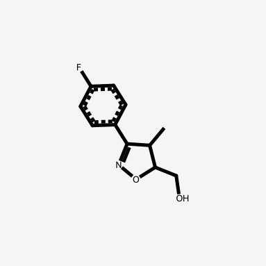 CC1C(c2ccc(F)cc2)=NOC1CO